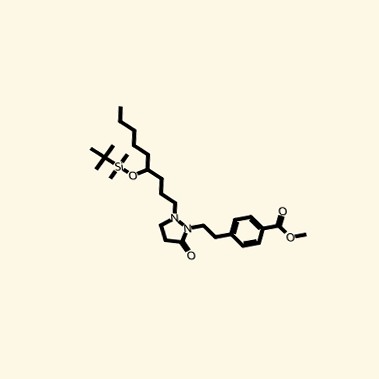 CCCCCC(CCCN1CCC(=O)N1CCc1ccc(C(=O)OC)cc1)O[Si](C)(C)C(C)(C)C